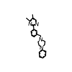 Cc1cnc(-c2cccc(CN3CCN(c4ccccc4)CC3)c2)nc1C